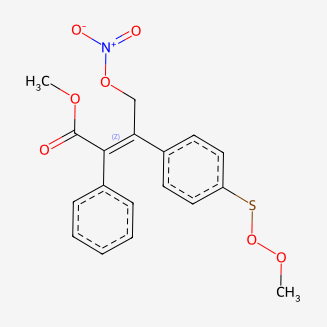 COOSc1ccc(/C(CO[N+](=O)[O-])=C(/C(=O)OC)c2ccccc2)cc1